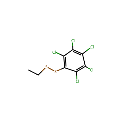 CCSSc1c(Cl)c(Cl)c(Cl)c(Cl)c1Cl